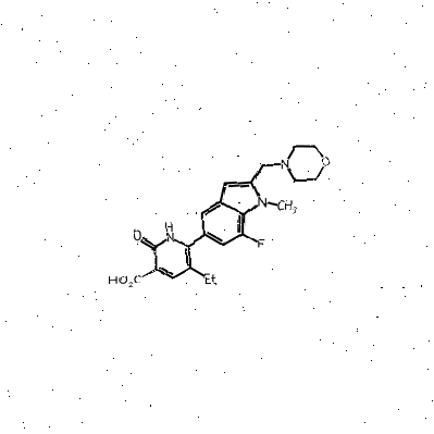 CCc1cc(C(=O)O)c(=O)[nH]c1-c1cc(F)c2c(c1)cc(CN1CCOCC1)n2C